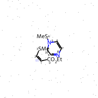 CCOC(=O)/C=C\SC.CSN1C=CN=CC1